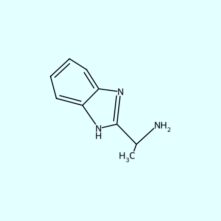 CC(N)c1nc2ccccc2[nH]1